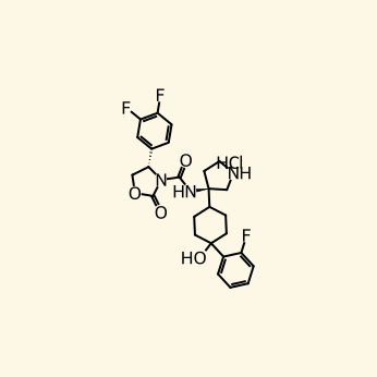 Cl.O=C(N[C@@]1(C2CCC(O)(c3ccccc3F)CC2)CCNC1)N1C(=O)OC[C@@H]1c1ccc(F)c(F)c1